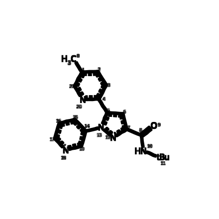 Cc1ccc(-c2cc(C(=O)NC(C)(C)C)nn2-c2cccnc2)nc1